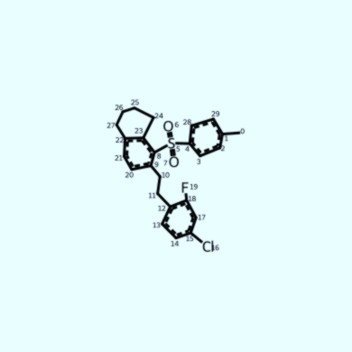 Cc1ccc(S(=O)(=O)c2c(CCc3ccc(Cl)cc3F)ccc3c2CCCC3)cc1